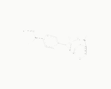 CCCNC(=O)c1ccc(C2=C3c4ccc(cc4)C(=O)NP23=O)cc1